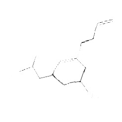 CC(C)CC1C=C(CCC=O)CC(C)C1